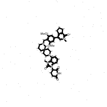 COc1cc(-c2cn(C)c(=O)c3c2CCC3)cc(OC)c1CN1CCCC2(CCN(c3cccc4c3n(C)c(=O)n4C3CCC(=O)NC3=O)CC2)C1